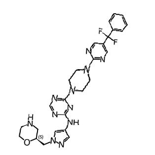 FC(F)(c1ccccc1)c1cnc(N2CCN(c3ncnc(Nc4cnn(C[C@@H]5CNCCO5)c4)n3)CC2)nc1